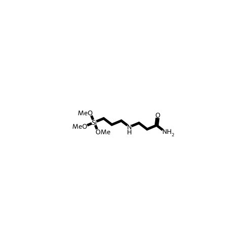 CO[Si](CCCNCCC(N)=O)(OC)OC